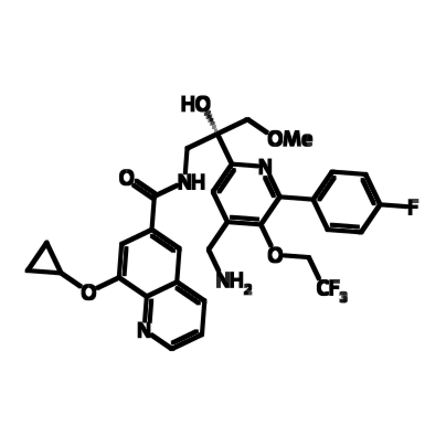 COC[C@](O)(CNC(=O)c1cc(OC2CC2)c2ncccc2c1)c1cc(CN)c(OCC(F)(F)F)c(-c2ccc(F)cc2)n1